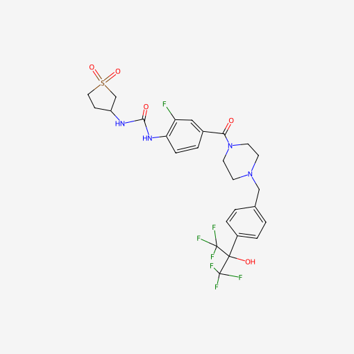 O=C(Nc1ccc(C(=O)N2CCN(Cc3ccc(C(O)(C(F)(F)F)C(F)(F)F)cc3)CC2)cc1F)NC1CCS(=O)(=O)C1